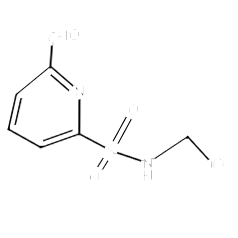 CC(C)CNS(=O)(=O)c1cccc(C=O)n1